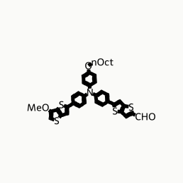 CCCCCCCCOc1ccc(N(c2ccc(-c3cc4sc(C=O)cc4s3)cc2)c2ccc(-c3cc4scc(OC)c4s3)cc2)cc1